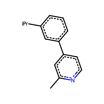 Cc1cc(-c2cccc(C(C)C)c2)ccn1